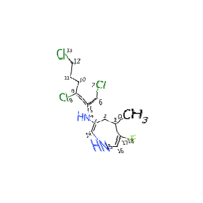 CC1CC(N/C(CCl)=C(\Cl)CCCCl)=CNC=C1F